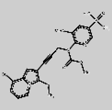 COc1cc(P(C)(C)=O)cnc1N(CC#Cc1cc2c(Br)cccn2c1SC(F)(F)F)C(=O)OC(C)(C)C